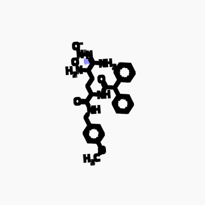 COc1ccc(CNC(=O)C(CCC(N)/C(N)=N\[N+](=O)[O-])NC(=O)C(c2ccccc2)c2ccccc2)cc1